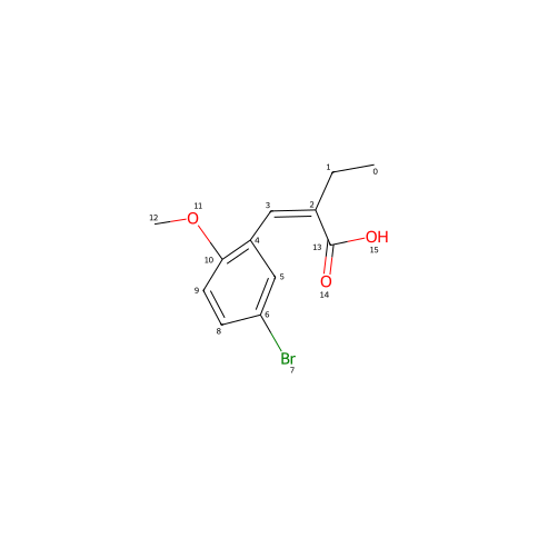 CC/C(=C/c1cc(Br)ccc1OC)C(=O)O